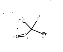 CC(C)C(F)(P=O)C(F)(F)F